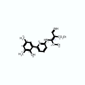 CCOC(=O)/C(C=N)=C(/Nc1cccc(-c2cc(C)cc(C)c2O)n1)OCC